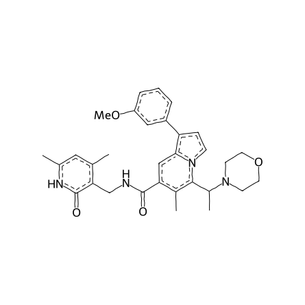 COc1cccc(-c2ccn3c(C(C)N4CCOCC4)c(C)c(C(=O)NCc4c(C)cc(C)[nH]c4=O)cc23)c1